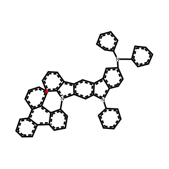 c1ccc(N(c2ccccc2)c2ccc3c(c2)c2cc4c5ccccc5n(-c5cccc6c7ccccc7c7ccccc7c56)c4cc2n3-c2ccccc2)cc1